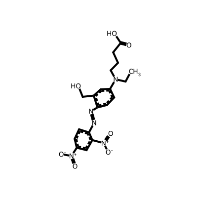 CCN(CCCC(=O)O)c1ccc(N=Nc2ccc([N+](=O)[O-])cc2[N+](=O)[O-])c(CO)c1